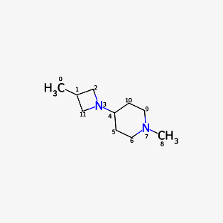 CC1CN(C2CCN(C)CC2)C1